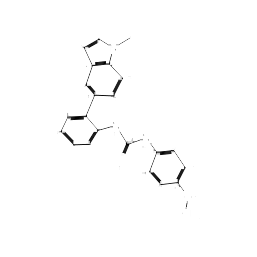 Cn1ccc2cc(-c3ccccc3NC(=O)Nc3ccc(OC(F)(F)F)cc3)ccc21